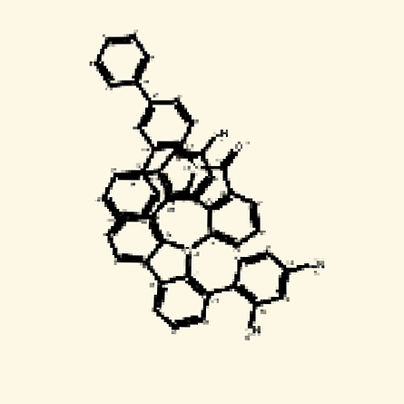 N#Cc1ccc(-c2cccc3c4cccc(-c5ccc(C#N)cc5C#N)c4n(-c4cccc5c4C(=O)N(c4ccc(-c6ccccc6)cc4-c4ccccc4)C5=O)c23)c(C#N)c1